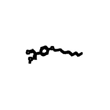 CCCCCCCCOc1ccc(C([C]=O)=NOC)cc1